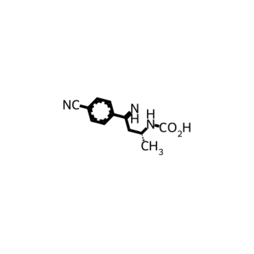 C[C@H](CC(=N)c1ccc(C#N)cc1)NC(=O)O